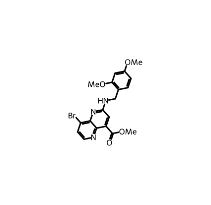 COC(=O)c1cc(NCc2ccc(OC)cc2OC)nc2c(Br)ccnc12